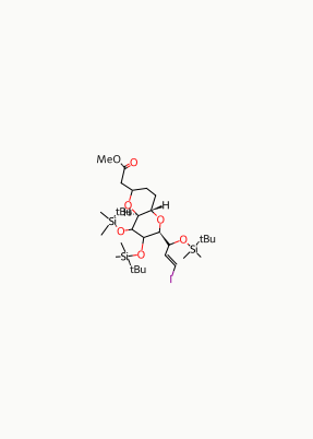 COC(=O)CC1CC[C@@H]2O[C@@H](C(/C=C/I)O[Si](C)(C)C(C)(C)C)C(O[Si](C)(C)C(C)(C)C)C(O[Si](C)(C)C(C)(C)C)[C@H]2O1